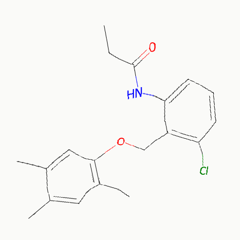 CCC(=O)Nc1cccc(Cl)c1COc1cc(C)c(C)cc1C